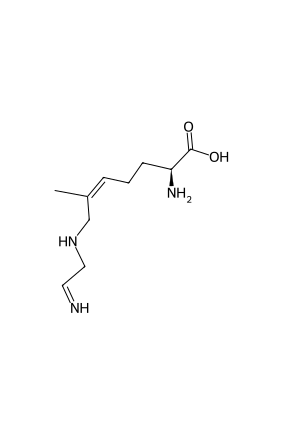 C/C(=C/CC[C@H](N)C(=O)O)CNCC=N